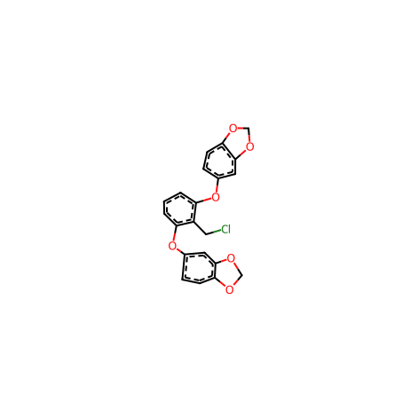 ClCc1c(Oc2ccc3c(c2)OCO3)cccc1Oc1ccc2c(c1)OCO2